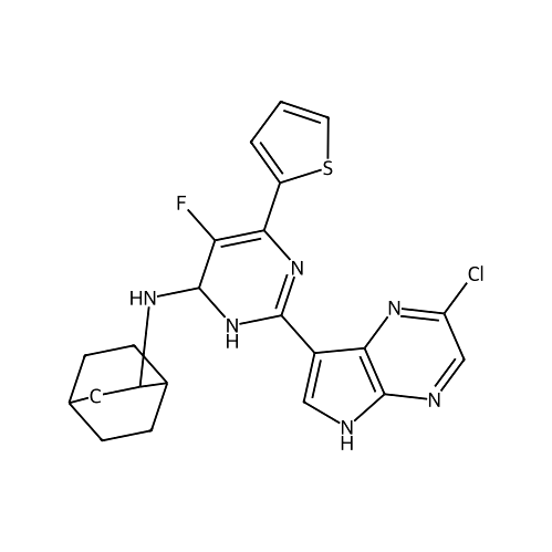 FC1=C(c2cccs2)N=C(c2c[nH]c3ncc(Cl)nc23)NC1NC1CC2CCC1CC2